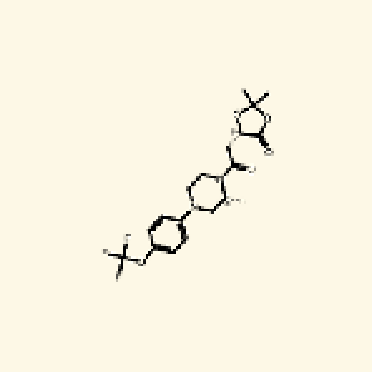 C[C@@H]1CN(c2ccc(OC(F)(F)F)cc2)CCN1C(=O)C[C@@H]1OC(C)(C)OC1=O